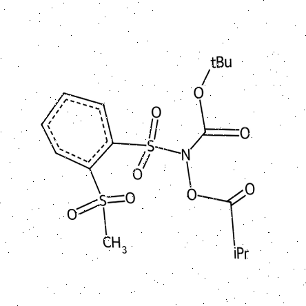 CC(C)C(=O)ON(C(=O)OC(C)(C)C)S(=O)(=O)c1ccccc1S(C)(=O)=O